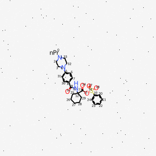 CCCN1CCN(c2ccc(C(=O)NC3(C(=O)OS(=O)(=O)c4ccccc4)CCCCC3)cc2)CC1